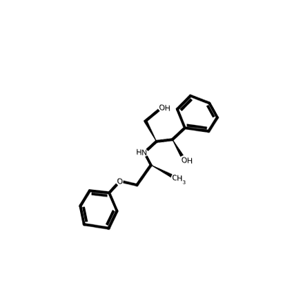 C[C@@H](COc1ccccc1)N[C@@H](CO)[C@H](O)c1ccccc1